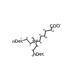 CCCCCCCCCCCC[N+](C)(CCCCCCCCCCCC)CCCCCC(=O)[O-]